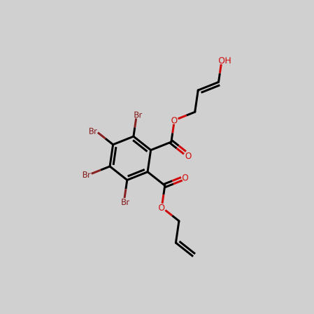 C=CCOC(=O)c1c(Br)c(Br)c(Br)c(Br)c1C(=O)OCC=CO